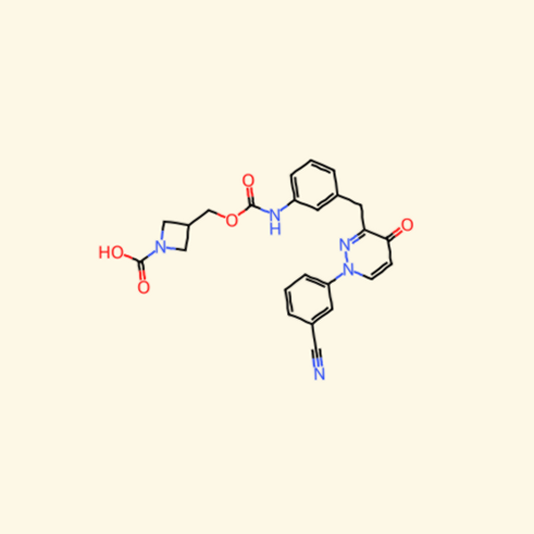 N#Cc1cccc(-n2ccc(=O)c(Cc3cccc(NC(=O)OCC4CN(C(=O)O)C4)c3)n2)c1